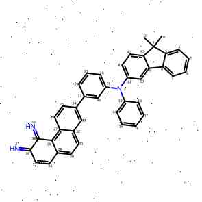 CC1(C)c2ccccc2-c2cc(N(c3ccccc3)c3cccc(-c4ccc5c6c(ccc5c4)C=CC(=N)C6=N)c3)ccc21